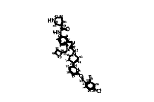 O=C(Nc1ccc2c(c1)nc(CN1CCC(c3cccc(OCc4ccc(Cl)cc4F)n3)CC1)n2CC1CCO1)C1CCCNC1